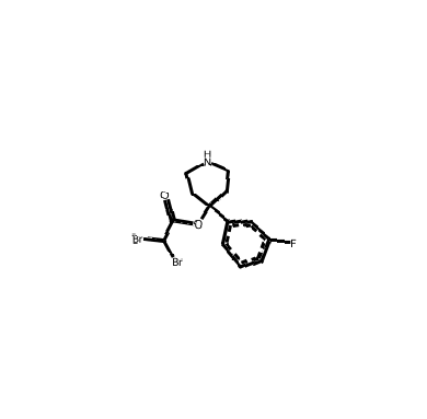 O=C(OC1(c2cccc(F)c2)CCNCC1)C(Br)Br